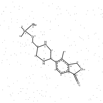 Cc1c(C2CNC(CO[Si](C)(C)C(C)(C)C)CN2)ccc2c1COC2=O